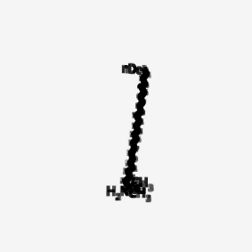 CCCCCCCCCCCCCCCCCCCCCCCCCCCCCCCCCC[C@@H](N)[Si](C)(C)Cl